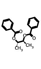 C[C@H](OC(=O)c1ccccc1)[C@H](C)OC(=O)c1ccccc1